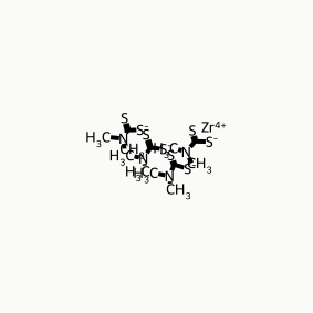 CN(C)C(=S)[S-].CN(C)C(=S)[S-].CN(C)C(=S)[S-].CN(C)C(=S)[S-].[Zr+4]